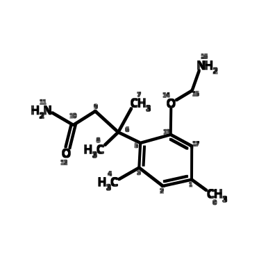 Cc1cc(C)c(C(C)(C)CC(N)=O)c(OCN)c1